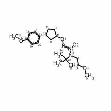 COCCN([N+]([O-])=NO[C@@H]1CC[C@@H](c2ccc(OC)cc2)C1)C(C)(C)C